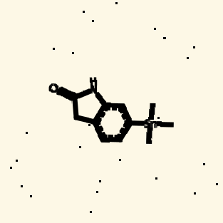 [CH3][Sn]([CH3])([CH3])[c]1ccc2c(c1)NC(=O)C2